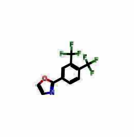 FC(F)(F)c1ccc(-c2nc[c]o2)cc1C(F)(F)F